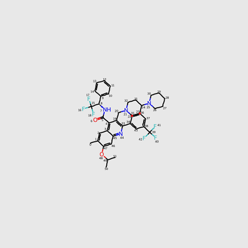 Cc1cc2c(C(=O)N[C@H](c3ccccc3)C(F)(F)F)c(CN3CCC(N4CCCCC4)CC3)c(-c3cccc(C(F)(F)F)c3)nc2cc1OC(C)C